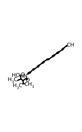 C#CC#CC#CC#CC#CC#CC#CC#CC#CNC(=O)C(C(C)C)C(CC)C(=O)O